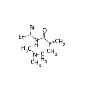 C=C(C)C(=O)NC(Br)CC.CN(C)C